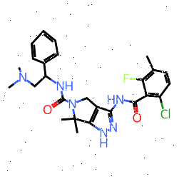 Cc1ccc(Cl)c(C(=O)Nc2n[nH]c3c2CN(C(=O)NC(CN(C)C)c2ccccc2)C3(C)C)c1F